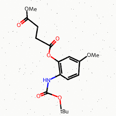 COC(=O)CCC(=O)Oc1cc(OC)ccc1NC(=O)OC(C)(C)C